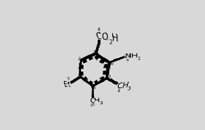 CCc1cc(C(=O)O)c(N)c(C)c1C